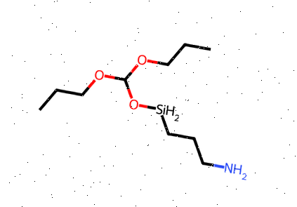 CCCOC(OCCC)O[SiH2]CCCN